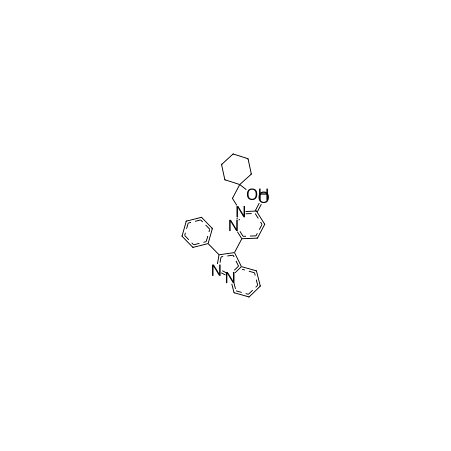 O=c1ccc(-c2c(-c3ccccc3)nn3ccccc23)nn1CC1(O)CCCCC1